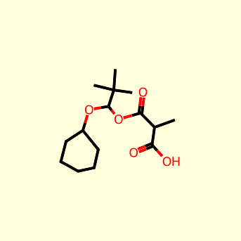 CC(C(=O)O)C(=O)OC(OC1CCCCC1)C(C)(C)C